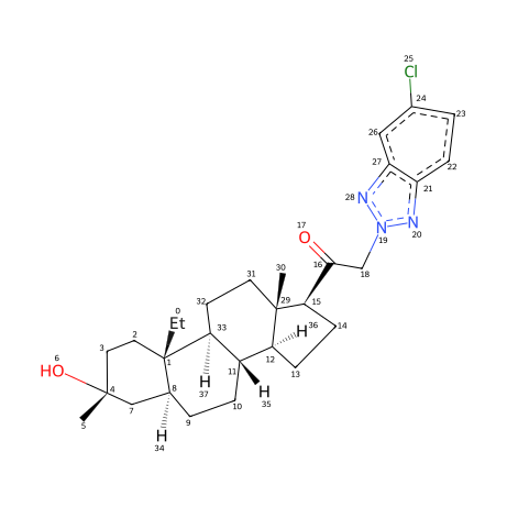 CC[C@]12CC[C@@](C)(O)C[C@@H]1CC[C@H]1[C@@H]3CC[C@H](C(=O)Cn4nc5ccc(Cl)cc5n4)[C@@]3(C)CC[C@@H]12